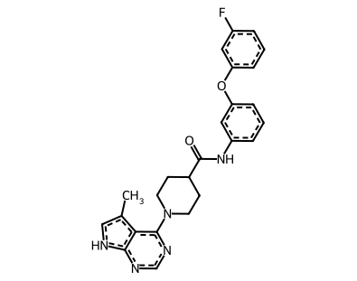 Cc1c[nH]c2ncnc(N3CCC(C(=O)Nc4cccc(Oc5cccc(F)c5)c4)CC3)c12